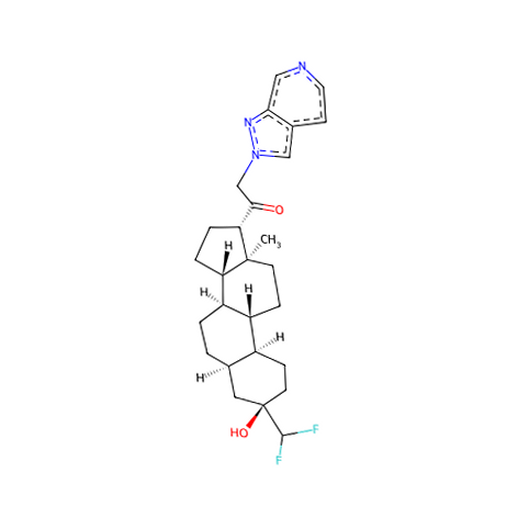 C[C@]12CC[C@H]3[C@@H](CC[C@@H]4C[C@@](O)(C(F)F)CC[C@@H]43)[C@@H]1CC[C@@H]2C(=O)Cn1cc2ccncc2n1